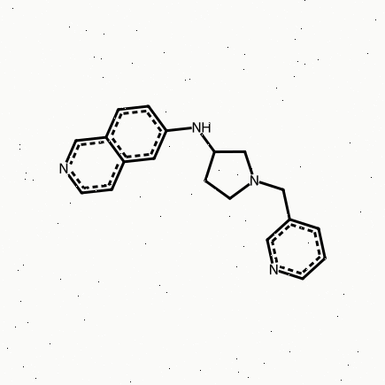 c1cncc(CN2CCC(Nc3ccc4cnccc4c3)C2)c1